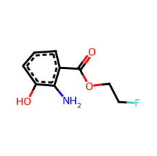 Nc1c(O)cccc1C(=O)OCCF